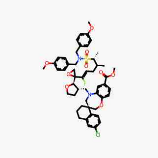 COC(=O)c1ccc2c(c1)N(C[C@@H]1CCO[C@H]1C1(/C(F)=C/C[C@H](C)[C@@H](C)S(=O)(=O)N(Cc3ccc(OC)cc3)Cc3ccc(OC)cc3)CO1)C[C@@]1(CCCc3cc(Cl)ccc31)CO2